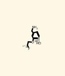 C[C@@H](F)COc1cc(CN)ccn1.Cl.Cl